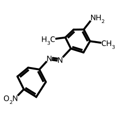 Cc1cc(N=Nc2ccc([N+](=O)[O-])cc2)c(C)cc1N